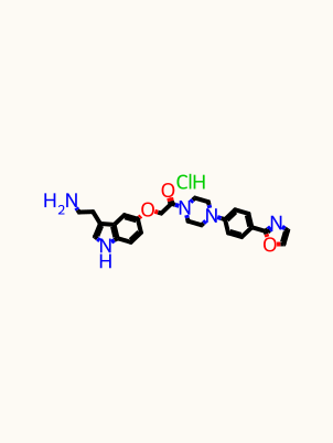 Cl.NCCc1c[nH]c2ccc(OCC(=O)N3CCN(c4ccc(-c5ncco5)cc4)CC3)cc12